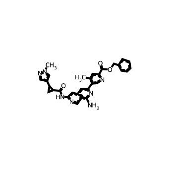 Cc1cc(C(=O)OCc2ccccc2)ncc1-c1cc2cc(NC(=O)C3CC3c3cnn(C)c3)ncc2c(N)n1